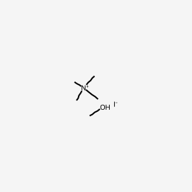 CO.C[N+](C)(C)C.[I-]